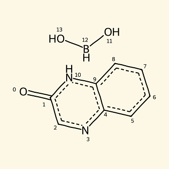 O=c1cnc2ccccc2[nH]1.OBO